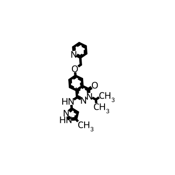 Cc1cc(Nc2nn(C(C)C)c(=O)c3cc(OCc4ccccn4)ccc23)n[nH]1